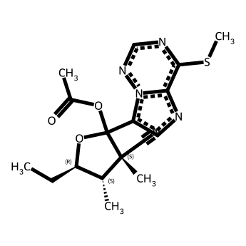 CC[C@H]1OC(OC(C)=O)(c2cnc3c(SC)ncnn23)[C@](C)(C#N)[C@@H]1C